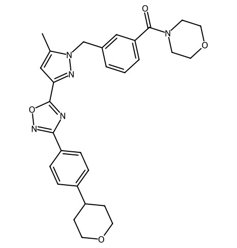 Cc1cc(-c2nc(-c3ccc(C4CCOCC4)cc3)no2)nn1Cc1cccc(C(=O)N2CCOCC2)c1